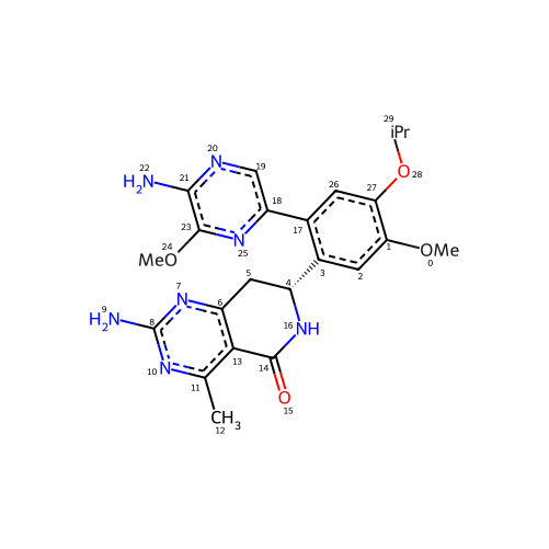 COc1cc([C@H]2Cc3nc(N)nc(C)c3C(=O)N2)c(-c2cnc(N)c(OC)n2)cc1OC(C)C